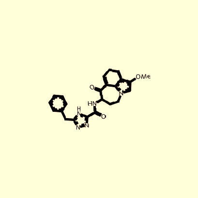 COc1cn2c3c1CCC=C3C(=O)C(NC(=O)c1nnc(Cc3ccccc3)[nH]1)CC2